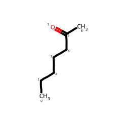 CCCC[CH]C(C)=O